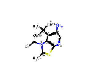 CCC(OC)N1c2c(ncc(N)c2C(C)(C)OC)SC1C